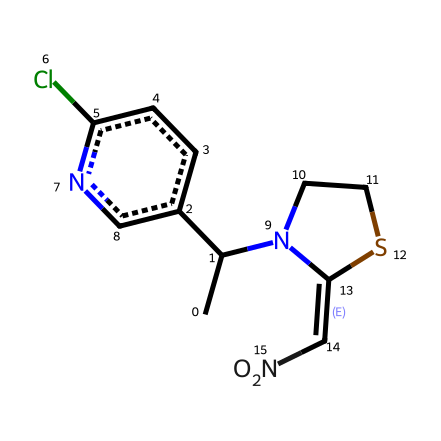 CC(c1ccc(Cl)nc1)N1CCS/C1=C/[N+](=O)[O-]